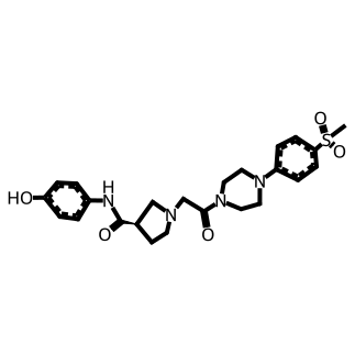 CS(=O)(=O)c1ccc(N2CCN(C(=O)CN3CC[C@@H](C(=O)Nc4ccc(O)cc4)C3)CC2)cc1